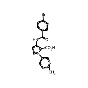 Cc1ccc(-n2ccc(NC(=O)c3ccc(Br)cc3)c2C(=O)O)cn1